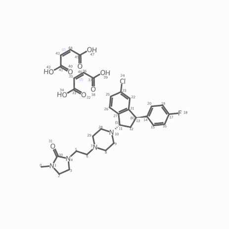 CN1CCN(CCN2CCN([C@H]3C[C@H](c4ccc(F)cc4)c4cc(Cl)ccc43)CC2)C1=O.O=C(O)/C=C\C(=O)O.O=C(O)/C=C\C(=O)O